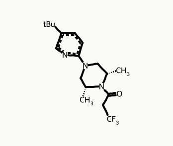 C[C@@H]1CN(c2ccc(C(C)(C)C)cn2)C[C@H](C)N1C(=O)CC(F)(F)F